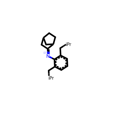 CC(C)Cc1cccc(CC(C)C)c1/N=C1/CC2CCC1C2